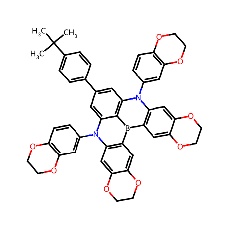 CC(C)(C)c1ccc(-c2cc3c4c(c2)N(c2ccc5c(c2)OCCO5)c2cc5c(cc2B4c2cc4c(cc2N3c2ccc3c(c2)OCCO3)OCCO4)OCCO5)cc1